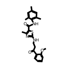 COc1ccccc1C(=O)CCNc1nc(C)c(C(=O)Nc2c(C)cc(C)cc2C)s1